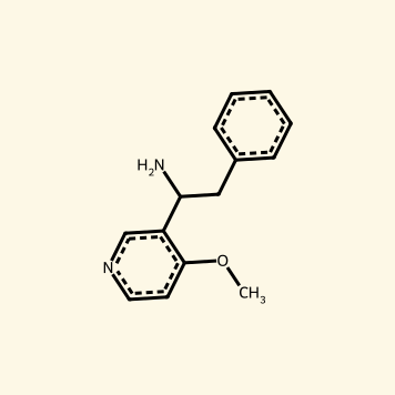 COc1ccncc1C(N)Cc1ccccc1